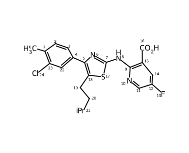 Cc1ccc(-c2nc(Nc3ncc(F)cc3C(=O)O)sc2CCC(C)C)cc1Cl